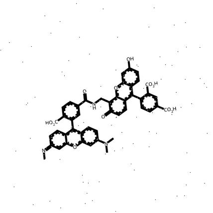 C/N=c1/ccc2c(-c3cc(C(=O)NCc4c5oc6cc(O)ccc6c(-c6ccc(C(=O)O)cc6C(=O)O)c-5ccc4=O)ccc3C(=O)O)c3ccc(N(C)C)cc3oc-2c1